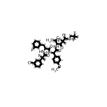 COc1ccc(C(NC(=O)C(Cc2cccc(F)c2)NC(=O)C(F)(F)c2cccc(Cl)c2)C(=O)N[C@H](C(=O)C(F)(F)C(=O)NCC(F)(F)F)C(C)C)cc1